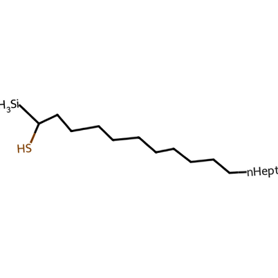 CCCCCCCCCCCCCCCCCC([SiH3])S